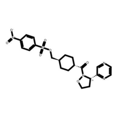 O=C([C@H]1CC[C@H](COS(=O)(=O)c2ccc([N+](=O)[O-])cc2)CC1)N1OCC[C@H]1c1cnccn1